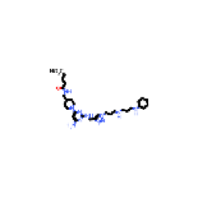 Nc1cc(N2CCC(CNC(=O)CCCC(=O)O)CC2)nc(NCc2cn(CCCNCCCNC3CCCCC3)nn2)n1